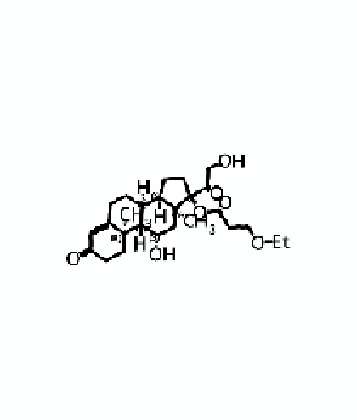 CCOCCC(=O)O[C@]1(C(=O)CO)CC[C@H]2[C@@H]3CCC4=CC(=O)CC[C@]4(C)[C@H]3[C@@H](O)C[C@@]21C